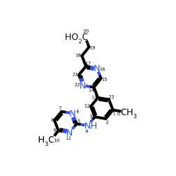 Cc1cc(Nc2nccc(C)n2)cc(-c2cnc(CCC(=O)O)cn2)c1